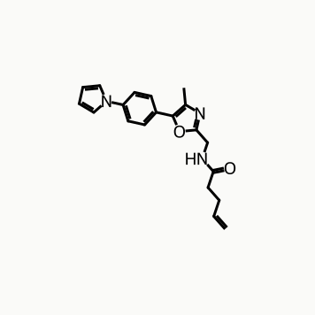 C=CCCC(=O)NCc1nc(C)c(-c2ccc(-n3cccc3)cc2)o1